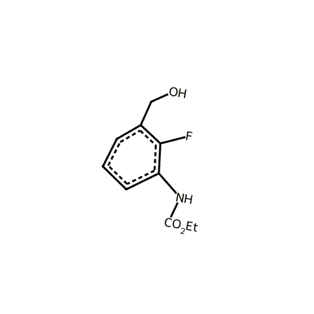 CCOC(=O)Nc1cccc(CO)c1F